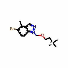 Cc1c(Br)ccc2c1cnn2COCC[Si](C)(C)C